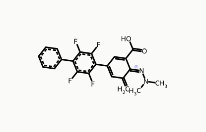 C=C1C=C(c2c(F)c(F)c(-c3ccccc3)c(F)c2F)C=C(C(=O)O)/C1=N/N(C)C